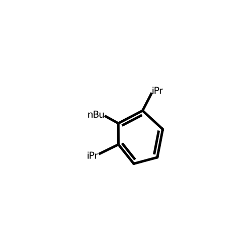 [CH2]CCCc1c(C(C)C)cccc1C(C)C